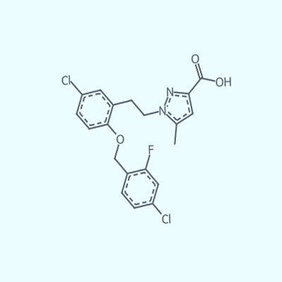 Cc1cc(C(=O)O)nn1CCc1cc(Cl)ccc1OCc1ccc(Cl)cc1F